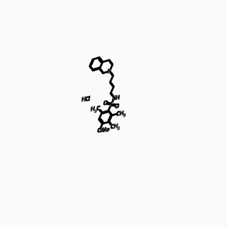 COc1cc(C)c(S(=O)(=O)NCCCCN2CCc3ccccc3C2)c(C)c1C.Cl